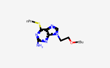 CCCSc1nc(N)nc2c1ncn2CCOC(C)(C)C